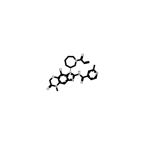 C=CC(=O)N1CCCC[C@@H](n2c(NC(=O)c3ccnc(C)c3)nc3cc4c(c(Cl)c32)OCC(=O)N4C)C1